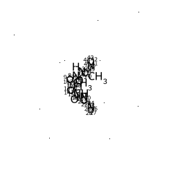 Cc1cc(C(=O)Nc2cccc(-c3cccc(NC(=O)c4ccc(CN5CCCC5)cn4)c3Cl)c2C)ncc1CN1CCCCC1